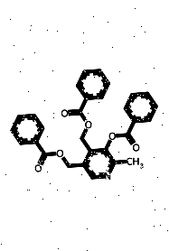 Cc1ncc(COC(=O)c2ccccc2)c(COC(=O)c2ccccc2)c1OC(=O)c1ccccc1